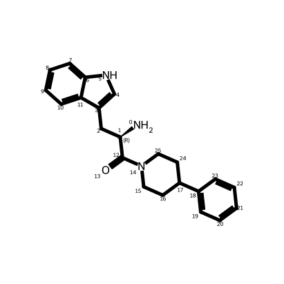 N[C@H](Cc1c[nH]c2ccccc12)C(=O)N1CCC(c2ccccc2)CC1